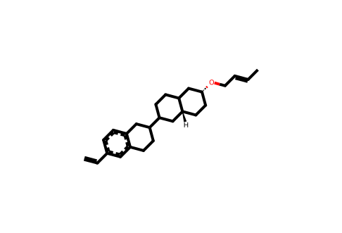 C=Cc1ccc2c(c1)CCC(C1CCC3C[C@H](OC/C=C/C)CC[C@@H]3C1)C2